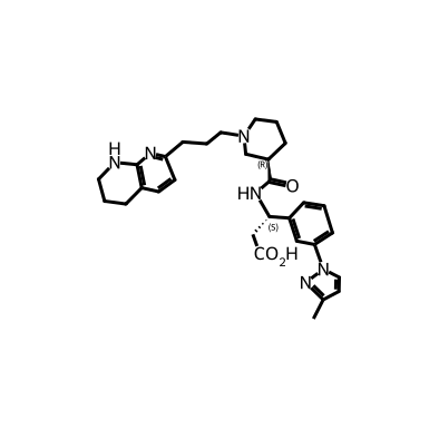 Cc1ccn(-c2cccc([C@H](CC(=O)O)NC(=O)[C@@H]3CCCN(CCCc4ccc5c(n4)NCCC5)C3)c2)n1